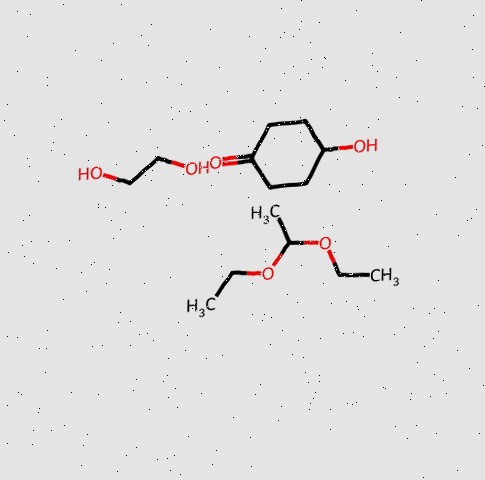 CCOC(C)OCC.O=C1CCC(O)CC1.OCCO